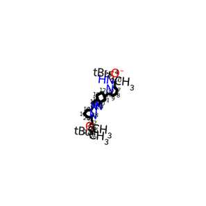 C[C@@H](N[S@+]([O-])C(C)(C)C)c1cccc(-c2ccc3cn(-c4cccc(CO[Si](C)(C)C(C)(C)C)n4)nc3c2)n1